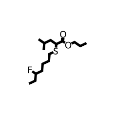 CCCOC(=O)C(CC(C)C)SCCCCC(F)CC